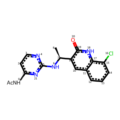 CC(=O)Nc1ccnc(N[C@@H](C)c2cc3cccc(Cl)c3[nH]c2=O)n1